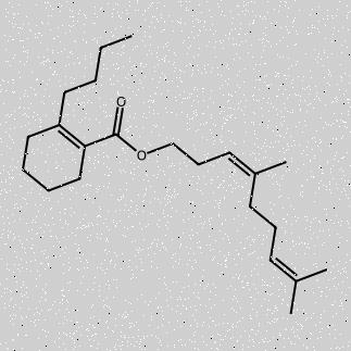 CCCCC1=C(C(=O)OCCC=C(C)CCC=C(C)C)CCCC1